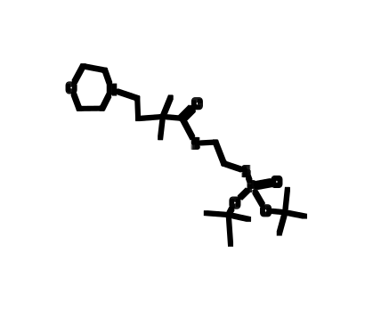 CC(C)(C)OP(=O)(OC(C)(C)C)SCCSC(=O)C(C)(C)CCN1CCOCC1